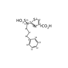 O=C(O)c1csc(N(CCCc2ccccc2)S(=O)(=O)O)n1